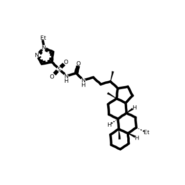 CC[C@H]1C[C@H]2C3CCC([C@H](C)CCNC(=O)NS(=O)(=O)c4cnn(CC)c4)[C@@]3(C)CC[C@@H]2[C@@]2(C)CCCC[C@@H]12